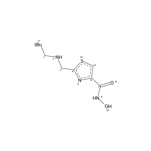 CC(C)(C)CNCc1nc(C(=O)NO)cs1